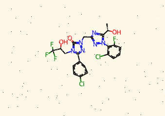 C[C@@H](O)c1nc(Cn2nc(-c3ccc(Cl)cc3)n(C[C@H](O)C(F)(F)F)c2=O)nn1-c1c(F)cccc1Cl